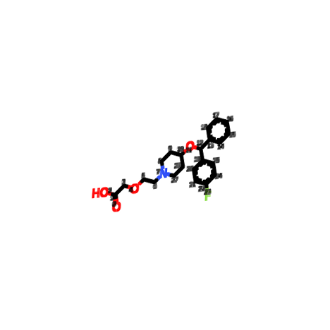 O=C(O)COCCN1CCC(OC(c2ccccc2)c2ccc(F)cc2)CC1